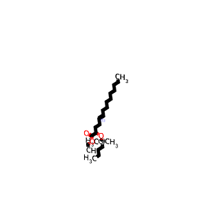 CCCCCCCCC/C=C/CCC(O[Si](C)(C)CCCC)C(=O)OCC